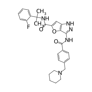 CC(C)(NC(=O)c1cc2[nH]nc(NC(=O)c3ccc(CN4CCCCC4)cc3)c2o1)c1ccccc1F